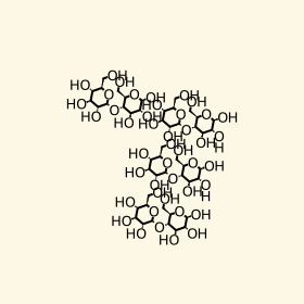 OC[C@H]1O[C@H](O[C@H]2[C@H](O)[C@@H](O)[C@H](O)O[C@@H]2CO)[C@H](O)[C@@H](O)[C@@H]1O.OC[C@H]1O[C@H](O[C@H]2[C@H](O)[C@@H](O)[C@H](O)O[C@@H]2CO)[C@H](O)[C@@H](O)[C@@H]1O.OC[C@H]1O[C@H](O[C@H]2[C@H](O)[C@@H](O)[C@H](O)O[C@@H]2CO)[C@H](O)[C@@H](O)[C@@H]1O.OC[C@H]1O[C@H](O[C@H]2[C@H](O)[C@@H](O)[C@H](O)O[C@@H]2CO)[C@H](O)[C@@H](O)[C@@H]1O